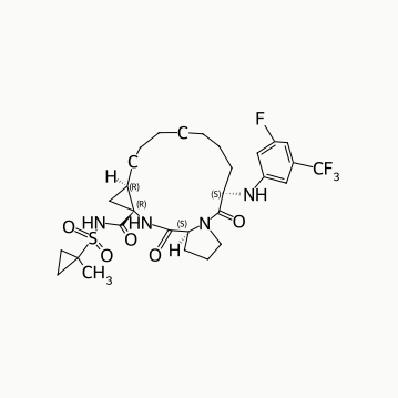 CC1(S(=O)(=O)NC(=O)[C@@]23C[C@H]2CCCCCCC[C@H](Nc2cc(F)cc(C(F)(F)F)c2)C(=O)N2CCC[C@H]2C(=O)N3)CC1